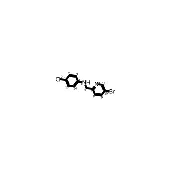 Clc1ccc(NCc2ccc(Br)cn2)cc1